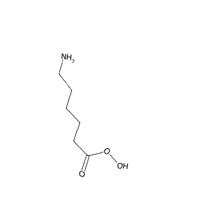 NCCCCCC(=O)OO